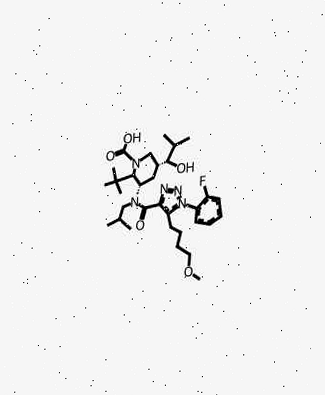 COCCCCc1c(C(=O)N(CC(C)C)[C@H]2C[C@@H](C(O)C(C)C)CN(C(=O)O)C2C(C)(C)C)nnn1-c1ccccc1F